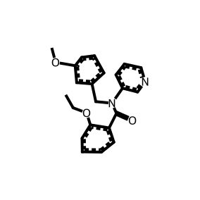 CCOc1ccccc1C(=O)N(Cc1cccc(OC)c1)c1cccnc1